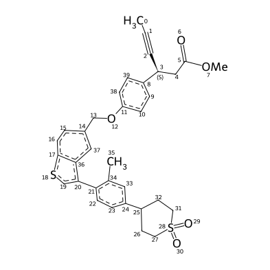 CC#C[C@@H](CC(=O)OC)c1ccc(OCc2ccc3scc(-c4ccc(C5CCS(=O)(=O)CC5)cc4C)c3c2)cc1